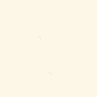 c1ccc(Oc2cccc(-c3cc(-c4cccc(-c5cc(-c6ccccc6)nc(-c6cccc(Oc7ccccc7)c6)c5)c4)cc(-c4ccccc4)n3)c2)cc1